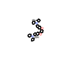 CC(C)(C)c1ccccc1N(c1ccccc1)c1ccc2cc3c(cc2c1)oc1ccc2oc4cc5cc(N(c6ccccc6)c6ccccc6C(C)(C)C)ccc5cc4c2c13